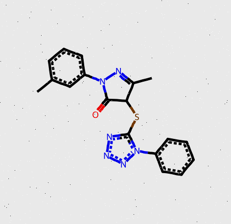 CC1=NN(c2cccc(C)c2)C(=O)C1Sc1nnnn1-c1ccccc1